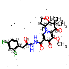 COc1c2n(cc(C(=O)NNC(=O)Cc3ccc(F)cc3F)c1=O)[C@@H]1CCO[C@@H]1C(C)(C)C2=O